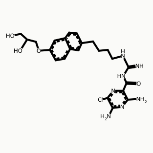 N=C(NCCCCc1ccc2cc(OCC(O)CO)ccc2c1)NC(=O)c1nc(Cl)c(N)nc1N